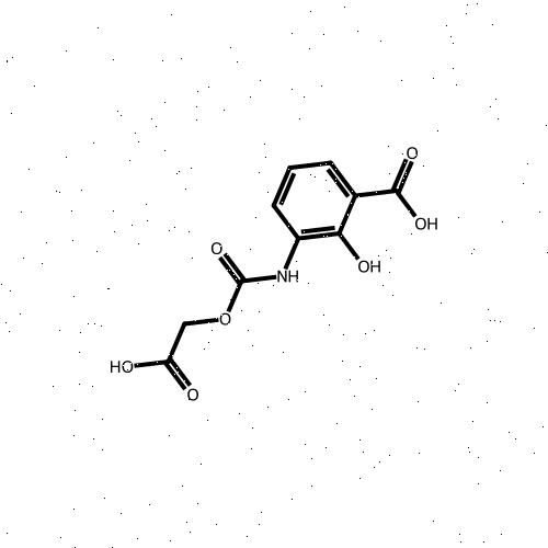 O=C(O)COC(=O)Nc1cccc(C(=O)O)c1O